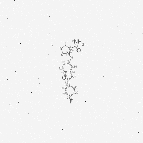 NC(=O)[C@@H]1CCCN1Cc1ccc2oc(-c3ccc(F)cc3)cc2c1